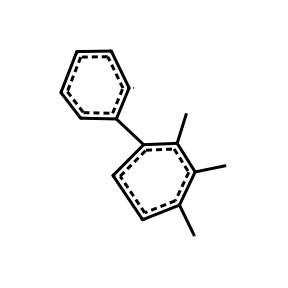 Cc1ccc(-c2[c]cccc2)c(C)c1C